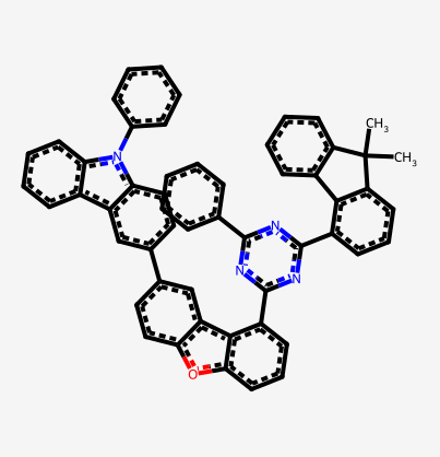 CC1(C)c2ccccc2-c2c(-c3nc(-c4ccccc4)nc(-c4cccc5oc6ccc(-c7ccc8c(c7)c7ccccc7n8-c7ccccc7)cc6c45)n3)cccc21